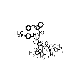 COc1ccc(CN2CCc3c(sc(NC(=O)C(=O)OC(C)(C)C)c3C(=O)OC(C)(C)C)C2CNC(=O)c2cn(Cc3ccccc3)c3ccccc23)cc1